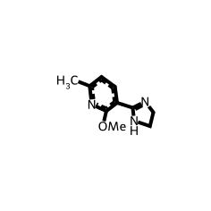 COc1nc(C)ccc1C1=NCCN1